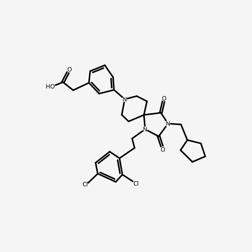 O=C(O)Cc1cccc(N2CCC3(CC2)C(=O)N(CC2CCCC2)C(=O)N3CCc2ccc(Cl)cc2Cl)c1